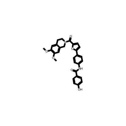 COc1cc2c(cc1OC)CN(C(=O)c1ccc(-c3ccc(NC(=O)c4ccc(O)cc4)cc3)o1)CC2